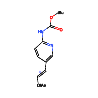 CO/C=C/c1ccc(NC(=O)OC(C)(C)C)nc1